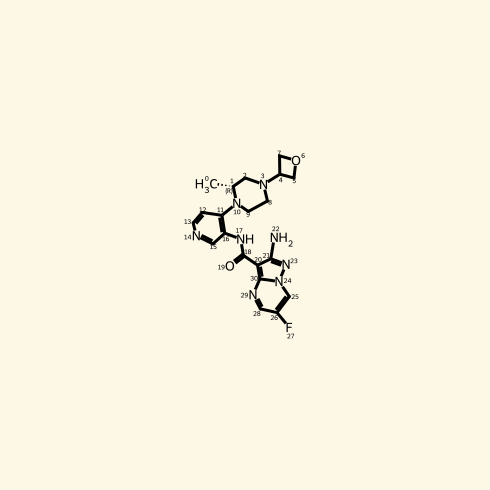 C[C@@H]1CN(C2COC2)CCN1c1ccncc1NC(=O)c1c(N)nn2cc(F)cnc12